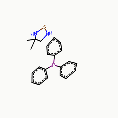 CC1(C)CNSN1.c1ccc(P(c2ccccc2)c2ccccc2)cc1